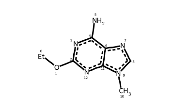 CCOc1nc(N)c2ncn(C)c2n1